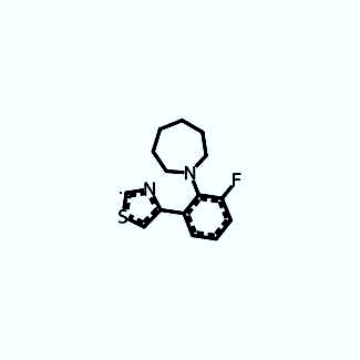 Fc1cccc(-c2cs[c]n2)c1N1CCCCCC1